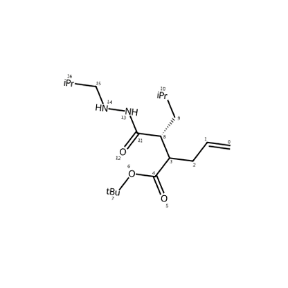 C=CCC(C(=O)OC(C)(C)C)[C@@H](CC(C)C)C(=O)NNCC(C)C